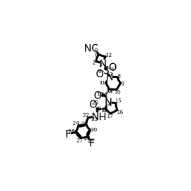 N#CC1CN(S(=O)(=O)N2CCC[C@H](C(=O)N3CCC[C@H]3C(=O)NCc3cc(F)cc(F)c3)C2)C1